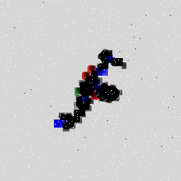 CN1CCCC1CCNC(=O)c1cn2c3c(c(N4CCC(CCCC5CCNCC5)CC4)c(F)cc3c1=O)Oc1cc3ccccc3cc1-2